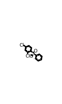 O=S(=O)(c1[c]cccc1)c1ccc(Cl)cc1Cl